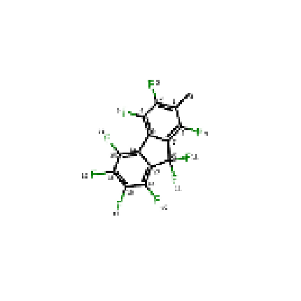 Cc1c(F)c(F)c2c(c1F)C(F)(F)c1c(F)c(F)c(F)c(F)c1-2